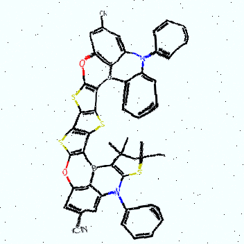 CC1(C)SC2=C(B3c4c(cc(C#N)cc4N2c2ccccc2)Oc2sc4c(sc5c6c(sc54)Oc4cc(C#N)cc5c4B6c4ccccc4N5c4ccccc4)c23)C1(C)C